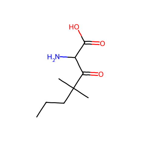 CCCC(C)(C)C(=O)C(N)C(=O)O